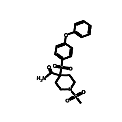 CS(=O)(=O)N1CCC(C(N)=O)(S(=O)(=O)c2ccc(Oc3ccccc3)cc2)CC1